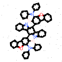 c1ccc(N2c3ccccc3B3c4c(cc5c(oc6ccccc65)c42)-c2c4c5ccccc5n5c4c(c4c6ccccc6n3c24)-c2cc3c(oc4ccccc43)c3c2B5c2ccccc2N3c2ccccc2)cc1